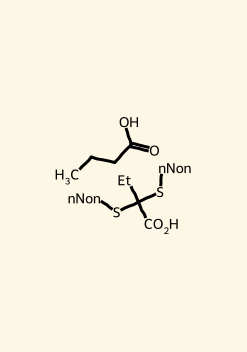 CCCC(=O)O.CCCCCCCCCSC(CC)(SCCCCCCCCC)C(=O)O